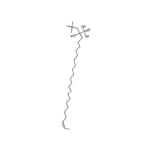 C/C=C\CCCCCCCCCCCCCCCCCCCC(O)(C[N+](C)(C)C)P(=O)(O)O